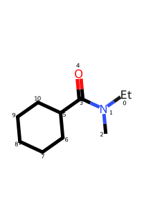 CCN(C)C(=O)C1CC[CH]CC1